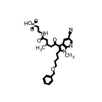 C[C@H](CC(=O)NCCS(=O)(=O)O)CC(=O)c1c(CCCCOCc2ccccc2)n(C)c2ncc(C#N)cc12